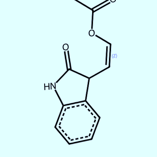 CC(=O)O/C=C\C1C(=O)Nc2ccccc21